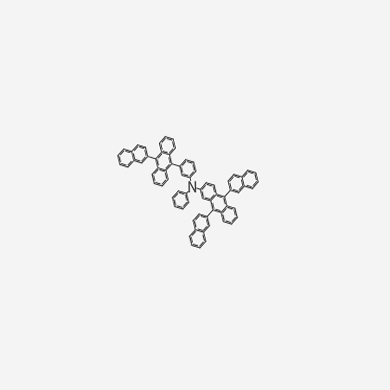 c1ccc(N(c2cccc(-c3c4ccccc4c(-c4ccc5ccccc5c4)c4ccccc34)c2)c2ccc3c(-c4ccc5ccccc5c4)c4ccccc4c(-c4ccc5ccccc5c4)c3c2)cc1